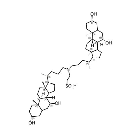 C[C@H](CCCN(CCC[C@@H](C)[C@H]1CCC2[C@@H]3[C@@H](O)CC4C[C@H](O)CC[C@]4(C)[C@H]3CC[C@@]21C)CCS(=O)(=O)O)[C@H]1CCC2[C@@H]3[C@@H](O)CC4C[C@H](O)CC[C@]4(C)[C@H]3CC[C@@]21C